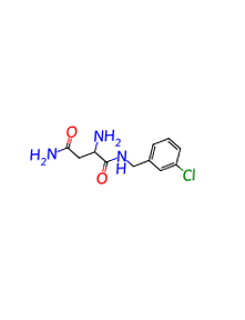 NC(=O)CC(N)C(=O)NCc1cccc(Cl)c1